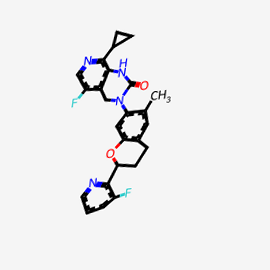 Cc1cc2c(cc1N1Cc3c(F)cnc(C4CC4)c3NC1=O)OC(c1ncccc1F)CC2